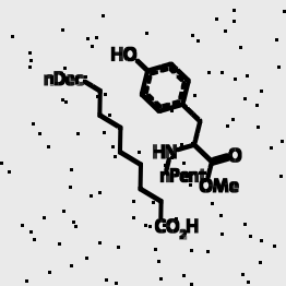 CCCCCCCCCCCCCCCCCC(=O)O.CCCCCNC(Cc1ccc(O)cc1)C(=O)OC